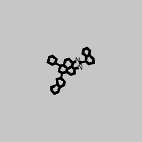 c1ccc(-c2cc(-c3ccc4ccccc4c3)c3ccc4nc(-c5cccc6ccccc56)nc5ccc2c3c54)cc1